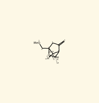 C=C1CC2(COC)O[C@@H](C)C1[C@@H]2OC